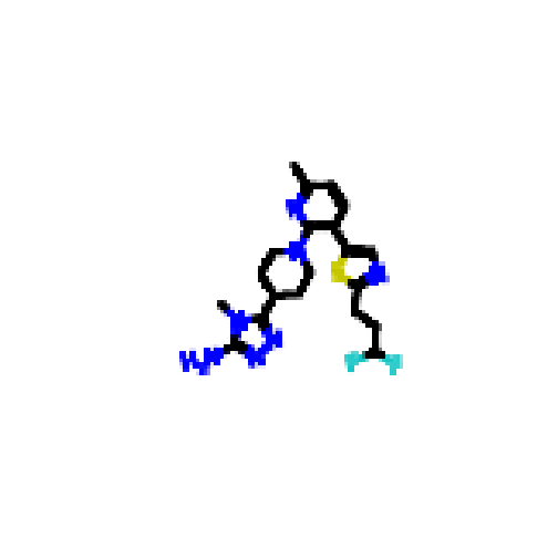 Cc1ccc(-c2cnc(CCC(F)F)s2)c(N2CCC(c3nnc(N)n3C)CC2)n1